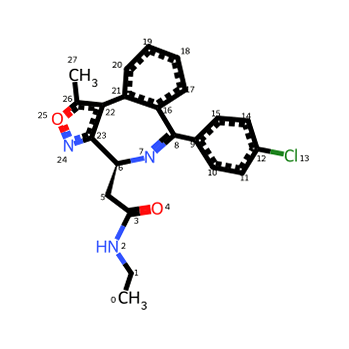 CCNC(=O)C[C@@H]1N=C(c2ccc(Cl)cc2)c2ccccc2-c2c1noc2C